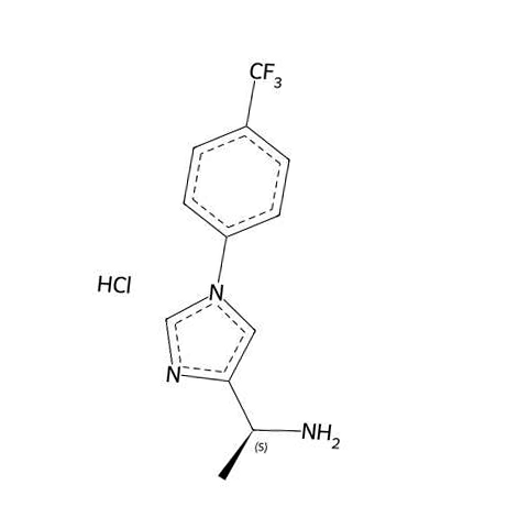 C[C@H](N)c1cn(-c2ccc(C(F)(F)F)cc2)cn1.Cl